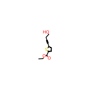 CCOC(=O)c1ccc(C#CCCO)s1